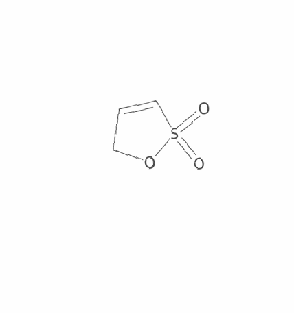 O=S1(=O)C=CCO1